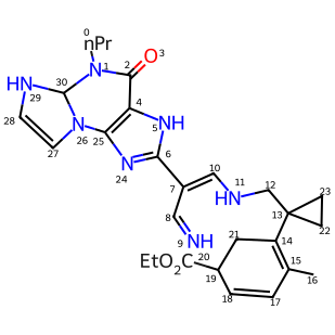 CCCN1C(=O)c2[nH]c(/C(C=N)=C/NCC3(C4=C(C)C=CC(C(=O)OCC)C4)CC3)nc2N2C=CNC12